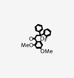 COc1cc(OC)c2c(c1)OC(c1ccccc1)(c1ccccc1F)CC2=O